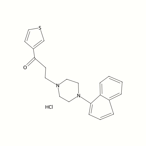 Cl.O=C(CCN1CCN(c2cccc3ccccc23)CC1)c1ccsc1